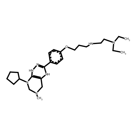 CCN(CC)CCNCCCOc1ccc(C2=NNC3=C(CN(C)CN3C3CCCC3)N2)cc1